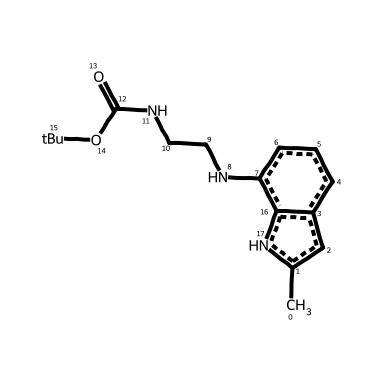 Cc1cc2cccc(NCCNC(=O)OC(C)(C)C)c2[nH]1